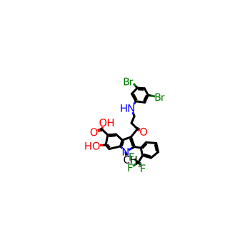 Cn1c(-c2ccccc2C(F)(F)F)c(C(=O)CCNc2cc(Br)cc(Br)c2)c2cc(C(=O)O)c(O)cc21